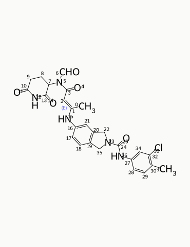 C/C(=C\C(=O)N(C=O)C1CCC(=O)NC1=O)Nc1ccc2c(c1)CN(C(=O)Nc1ccc(C)c(Cl)c1)C2